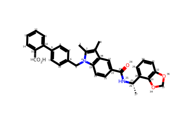 Cc1c(C)n(Cc2ccc(-c3ccccc3C(=O)O)cc2)c2ccc(C(=O)N[C@@H](C)c3cccc4c3OCO4)cc12